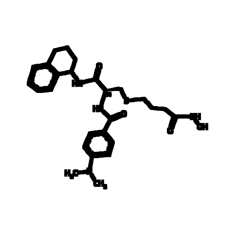 CN(C)c1ccc(C(=O)N[C@@H](CSCCCC(=O)NO)C(=O)NC2CCCc3ccccc32)cc1